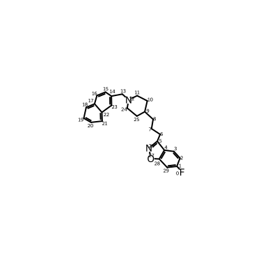 Fc1ccc2c(CCCC3CCN(Cc4ccc5ccccc5c4)CC3)noc2c1